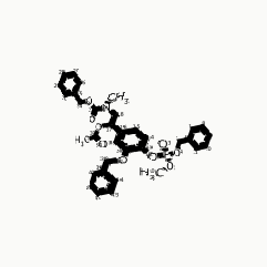 COP(=O)(OCc1ccccc1)Oc1ccc(C(CN(C)C(=O)OCc2ccccc2)OC(C)=O)cc1OCc1ccccc1